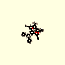 N#Cc1cccc(-c2cc(-c3cc(-c4ccccc4)nc(-c4ccccc4)n3)cc(-c3cccc(C#N)c3)c2-n2c3ccc(C(F)(F)F)cc3c3cc(C(F)(F)F)ccc32)c1